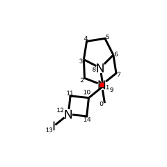 CN1CC2CCC(C1)N2CC1CN(I)C1